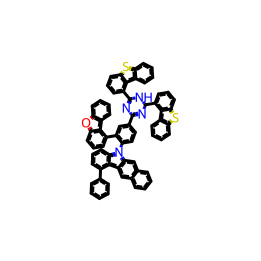 c1ccc(-c2cccc3c2c2cc4ccccc4cc2n3-c2ccc(C3=NC(c4cccc5sc6ccccc6c45)NC(c4cccc5sc6ccccc6c45)=N3)cc2-c2cccc3oc4ccccc4c23)cc1